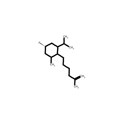 C=C(C)CCCCC1C(C)C[C@H](F)CC1C(C)C